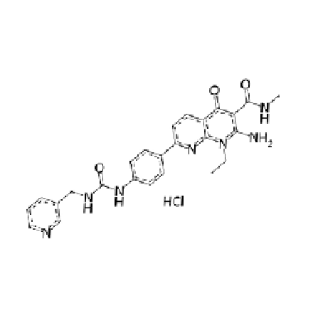 CCn1c(N)c(C(=O)NC)c(=O)c2ccc(-c3ccc(NC(=O)NCc4cccnc4)cc3)nc21.Cl